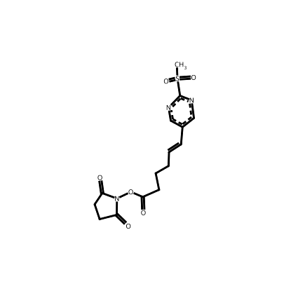 CS(=O)(=O)c1ncc(C=CCCCC(=O)ON2C(=O)CCC2=O)cn1